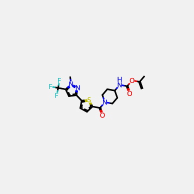 C=C(C)OC(=O)NC1CCN(C(=O)c2ccc(-c3cc(C(F)(F)F)n(C)n3)s2)CC1